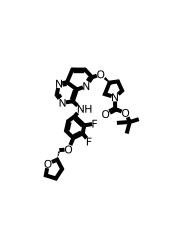 CC(C)(C)OC(=O)N1CC[C@H](Oc2ccc3ncnc(Nc4ccc(OC[C@@H]5CCCO5)c(F)c4F)c3n2)C1